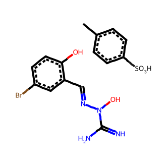 Cc1ccc(S(=O)(=O)O)cc1.N=C(N)N(O)N=Cc1cc(Br)ccc1O